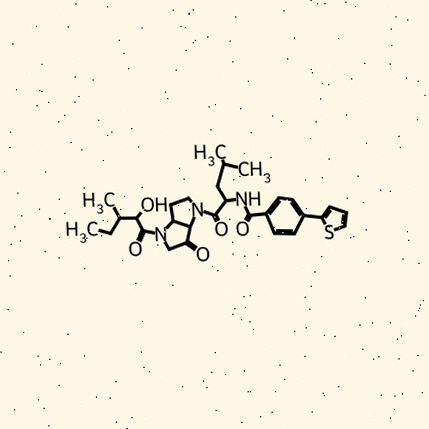 CCC(C)C(O)C(=O)N1CC(=O)C2C1CCN2C(=O)C(CC(C)C)NC(=O)c1ccc(-c2cccs2)cc1